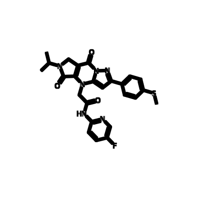 CSc1ccc(-c2cc3n(CC(=O)Nc4ccc(F)cn4)c4c(c(=O)n3n2)CN(C(C)C)C4=O)cc1